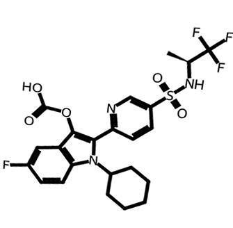 C[C@H](NS(=O)(=O)c1ccc(-c2c(OC(=O)O)c3cc(F)ccc3n2C2CCCCC2)nc1)C(F)(F)F